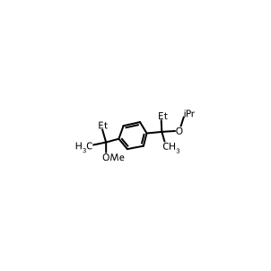 CCC(C)(OC)c1ccc(C(C)(CC)OC(C)C)cc1